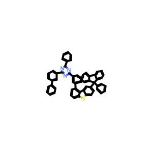 c1ccc(-c2cccc(-c3nc(-c4ccccc4)nc(-c4cccc(-c5cccc6sc7ccc(C8(c9ccccc9)c9ccccc9-c9ccccc98)cc7c56)c4)n3)c2)cc1